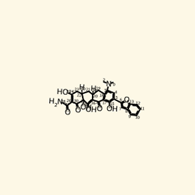 CN(C)c1cc(-c2cc3ccccc3o2)c(O)c2c1C[C@H]1C[C@H]3CC(O)=C(C(N)=O)C(=O)[C@@]3(O)C(O)=C1C2=O